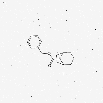 O=C(OCc1ccccc1)N1C2C[CH]CC1CC2